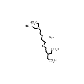 O=C(O)CN(CCOCCOCCN(CC(=O)O)CC(=O)O)CC(=O)O.[Mn]